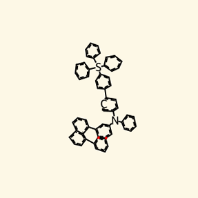 c1ccc(-c2cccc3cccc(-c4cccc(N(c5ccccc5)c5ccc(-c6ccc(S(c7ccccc7)(c7ccccc7)c7ccccc7)cc6)cc5)c4)c23)cc1